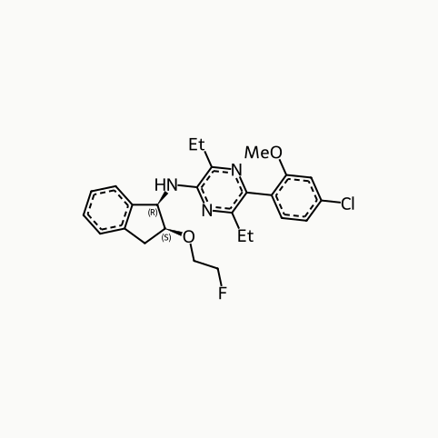 CCc1nc(-c2ccc(Cl)cc2OC)c(CC)nc1N[C@@H]1c2ccccc2C[C@@H]1OCCF